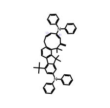 C=C1/C=C(N(c2ccccc2)c2ccccc2)\C=C/Cc2ccc3c(c2C1(C)C)C(C)(C)c1cc(N(c2ccccc2)c2ccccc2)cc(C(C)(C)C)c1-3